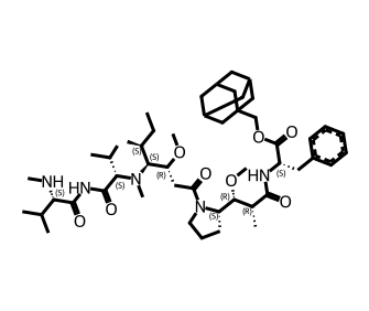 CC[C@H](C)[C@@H]([C@@H](CC(=O)N1CCC[C@H]1[C@H](OC)[C@@H](C)C(=O)N[C@@H](Cc1ccccc1)C(=O)OCC12CC3CC(CC(C3)C1)C2)OC)N(C)[C@H](C(=O)NC(=O)[C@@H](NC)C(C)C)C(C)C